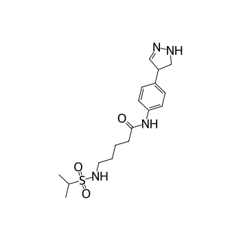 CC(C)S(=O)(=O)NCCCCC(=O)Nc1ccc(C2C=NNC2)cc1